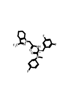 CN(C(=O)[C@H](Cc1cc(F)cc(F)c1)NC(=O)Cn1nc(C(F)(F)F)c2c1CCCC2)c1ccc(F)cc1